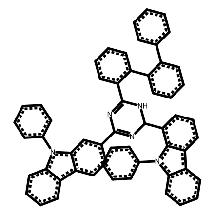 c1ccc(-c2ccccc2-c2ccccc2C2=NC(c3ccc4c5ccccc5n(-c5ccccc5)c4c3)=NC(c3cccc4c5ccccc5n(-c5ccccc5)c34)N2)cc1